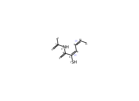 C=C(C)NC(=C)/C(S)=C\C=C/C